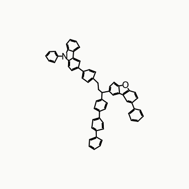 c1ccc(-c2ccc(-c3ccc(C(CCc4ccc(-c5ccc6c(c5)c5ccccc5n6-c5ccccc5)cc4)c4ccc5oc6ccc(-c7ccccc7)cc6c5c4)cc3)cc2)cc1